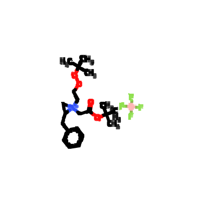 CC(C)(C)OOCC[N+]1(CC(=O)OC(C)(C)C)CC1Cc1ccccc1.F[B-](F)(F)F